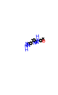 CNc1ncc2cc(-c3c(C)ccc4c(Nc5ccc6c(c5)C(C)(C)CO6)ncnc34)ccc2n1